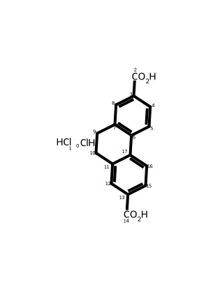 Cl.Cl.O=C(O)c1ccc2c(c1)CCc1cc(C(=O)O)ccc1-2